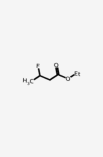 [CH2]COC(=O)CC(C)F